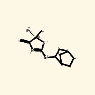 C=C1N=C(NC2CC3CCC2C3)S[C@@]1(C)C(C)C